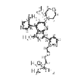 C[C@@H]1COCCN1c1cc(-c2cncn2C)c2c(n1)c(-c1ccnn1COCC[Si](C)(C)C)nn2C